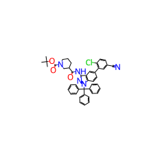 CC(C)(C)OC(=O)N1CCCC(C(=O)Nc2nn(C(c3ccccc3)(c3ccccc3)c3ccccc3)c3ccc(-c4cc(C#N)ccc4Cl)cc23)C1